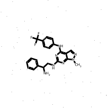 Cn1ncc2c(Nc3ccc(C(F)(F)F)cc3)nc(NCC(N)c3ccccc3)nc21